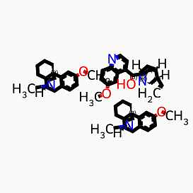 C=C[C@H]1C[N@]2CC[C@H]1C[C@@H]2[C@@H](O)c1ccnc2ccc(OC)cc12.COc1ccc2c(c1)[C@@]13CCCCC1[C@@H](C2)N(C)CC3.COc1ccc2c(c1)[C@@]13CCCCC1[C@@H](C2)N(C)CC3